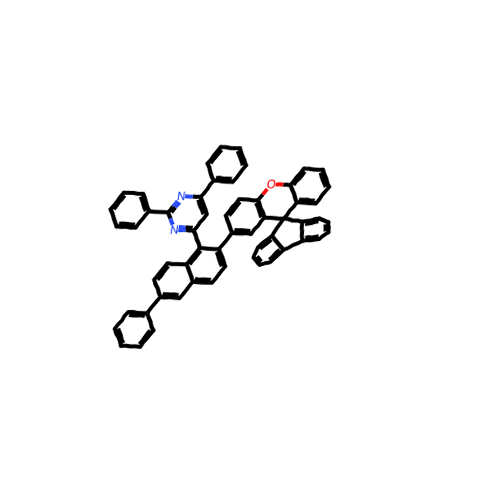 c1ccc(-c2ccc3c(-c4cc(-c5ccccc5)nc(-c5ccccc5)n4)c(-c4ccc5c(c4)C4(c6ccccc6O5)c5ccccc5-c5ccccc54)ccc3c2)cc1